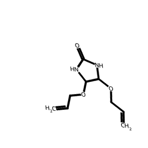 C=CCOC1NC(=O)NC1OCC=C